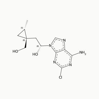 C[C@H]1C[C@@]1(CO)C[C@@H](O)n1cnc2c(N)nc(Cl)nc21